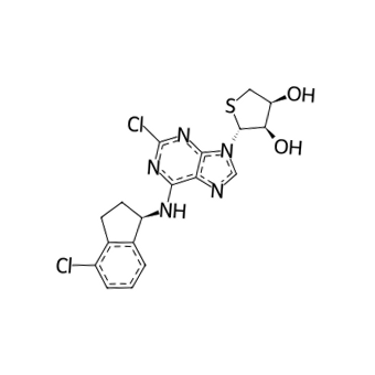 O[C@@H]1[C@H](O)CS[C@H]1n1cnc2c(N[C@@H]3CCc4c(Cl)cccc43)nc(Cl)nc21